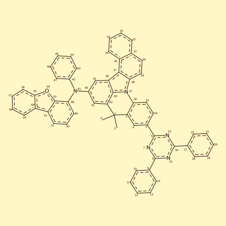 CC1(C)c2cc(-c3nc(-c4ccccc4)nc(-c4ccccc4)n3)ccc2-n2c3ccc4ccccc4c3c3cc(N(c4ccccc4)c4cccc5c4oc4ccccc45)cc1c32